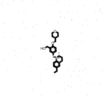 CCc1ccc2c(c1)CC[C@@H](C)N2Sc1ccc(OCC2CCOCC2)c(CO)c1